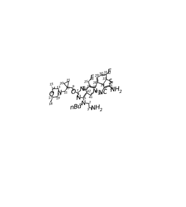 CCCCN(CCN)c1nc(OCC2(CN3C[C@@H](C)O[C@H](C)C3)CC2)nc2c(CF)c(C3=CC=C(F)C4SC(N)=C(C#N)C34)ncc12